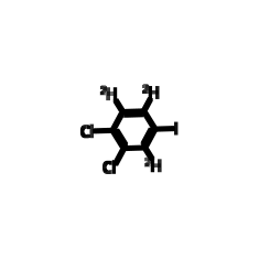 [2H]c1c([2H])c(I)c([2H])c(Cl)c1Cl